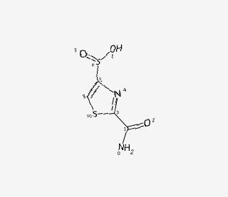 NC(=O)c1nc(S(=O)O)cs1